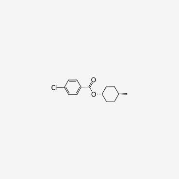 C[C@H]1CC[C@H](OC(=O)c2ccc(Cl)cc2)CC1